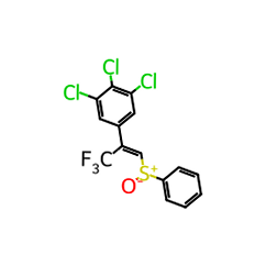 [O-][S+](C=C(c1cc(Cl)c(Cl)c(Cl)c1)C(F)(F)F)c1ccccc1